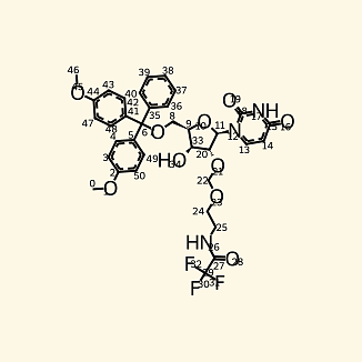 COc1ccc(C(OC[C@H]2O[C@@H](n3ccc(=O)[nH]c3=O)[C@H](OCOCCNC(=O)C(F)(F)F)[C@H]2O)(c2ccccc2)c2ccc(OC)cc2)cc1